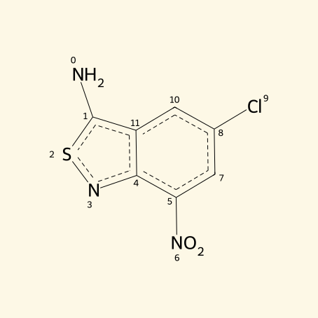 Nc1snc2c([N+](=O)[O-])cc(Cl)cc12